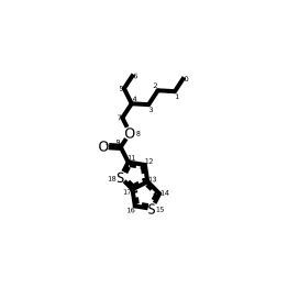 CCCCC(CC)COC(=O)c1cc2cscc2s1